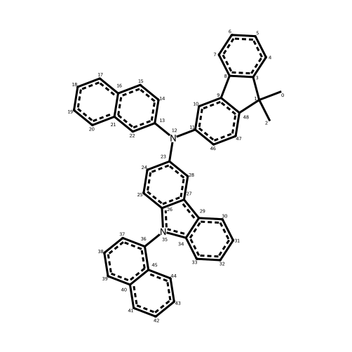 CC1(C)c2ccccc2-c2cc(N(c3ccc4ccccc4c3)c3ccc4c(c3)c3ccccc3n4-c3cccc4ccccc34)ccc21